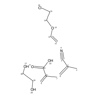 C=C(C)C#N.C=C(C)C(=O)O.C=COCCCl.OCCO